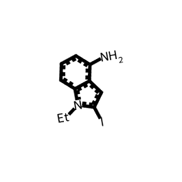 CCn1c(I)cc2c(N)cccc21